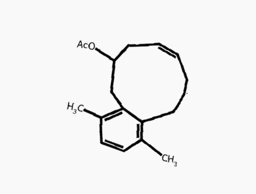 CC(=O)OC1C/C=C\C[CH]Cc2c(C)ccc(C)c2C1